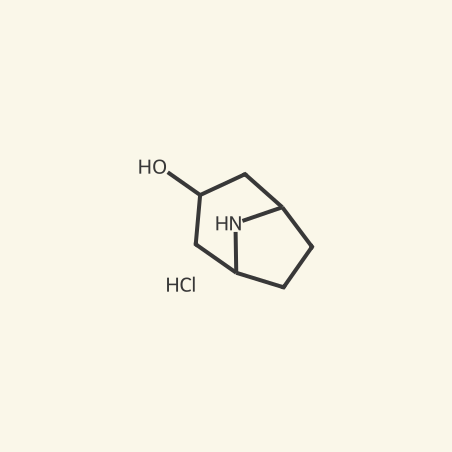 Cl.OC1CC2CCC(C1)N2